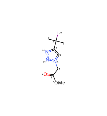 COC(=O)Cn1cc(C(C)(C)I)nn1